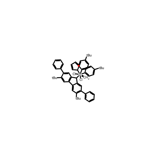 [CH2]=[Zr]([Cl])([Cl])([c]1ccc(C(C)(C)C)cc1)([c]1ccc(C(C)(C)C)cc1)([CH]1C=CC=C1)[CH]1c2cc(-c3ccccc3)c(C(C)(C)C)cc2-c2cc(C(C)(C)C)c(-c3ccccc3)cc21